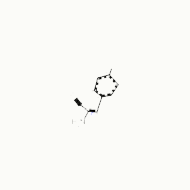 C#C/C(N)=C\c1ccc(I)cc1